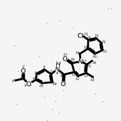 CC(=O)Oc1ccc(NC(=O)c2cc(C)c(C)n(Cc3ccccc3Cl)c2=O)cc1